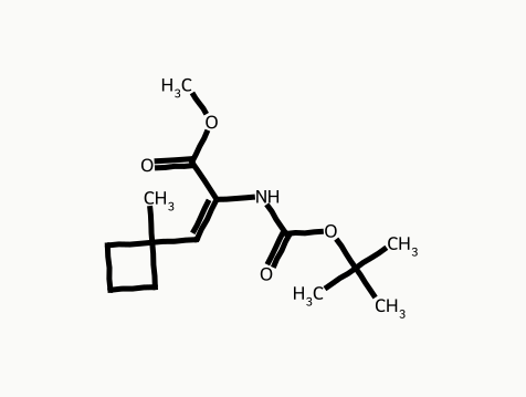 COC(=O)/C(=C\C1(C)CCC1)NC(=O)OC(C)(C)C